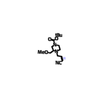 COCC1CN(C(=O)OC(C)(C)C)CCN1C/C=C\C#N